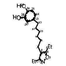 CCc1noc(CC)c1CCCCCCc1ccc(O)c(O)c1